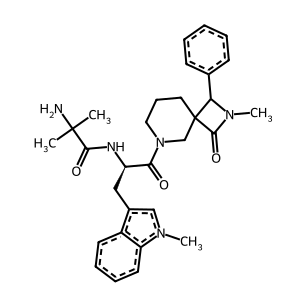 CN1C(=O)C2(CCCN(C(=O)[C@@H](Cc3cn(C)c4ccccc34)NC(=O)C(C)(C)N)C2)C1c1ccccc1